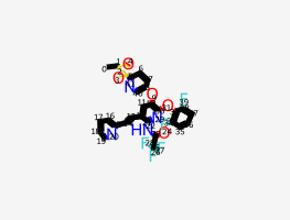 CCS(=O)(=O)c1ccc(Oc2cc(C#Cc3ccccn3)c(NC(=O)C(F)(F)F)nc2Oc2c(F)cccc2F)cn1